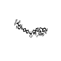 Cn1ncc(CN2CC3(C2)CN(C(=O)N2CC4(CC(n5cnc(C(F)(F)F)n5)C4)C2)C3)c1S(N)(=O)=O